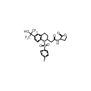 O=C(CC1CCc2cc(C(O)(C(F)(F)F)C(F)(F)F)ccc2N1S(=O)(=O)c1ccc(F)cc1)NC1CCOC1=O